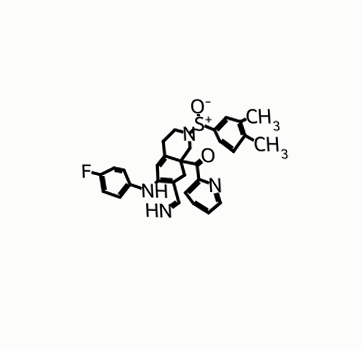 Cc1ccc([S+]([O-])N2CCC3=CC(Nc4ccc(F)cc4)=C(C=N)CC3(C(=O)c3ccccn3)C2)cc1C